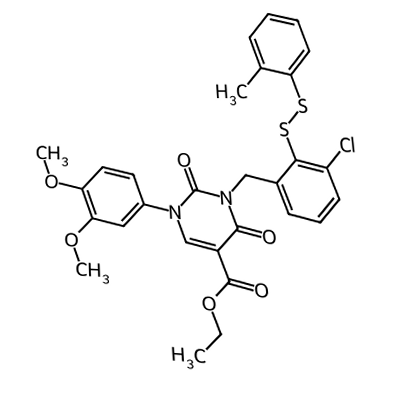 CCOC(=O)c1cn(-c2ccc(OC)c(OC)c2)c(=O)n(Cc2cccc(Cl)c2SSc2ccccc2C)c1=O